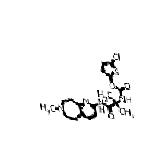 CN1CCc2ccc(NC(=O)C(C)(C)NC(=O)Oc3ccc(Cl)s3)nc2CC1